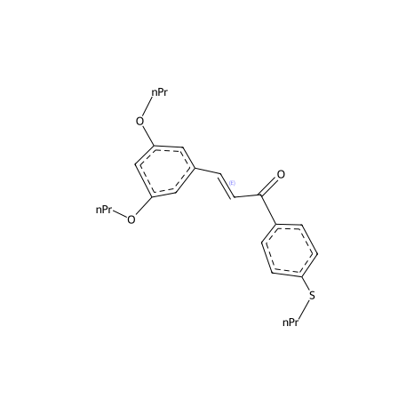 CCCOc1cc(/C=C/C(=O)c2ccc(SCCC)cc2)cc(OCCC)c1